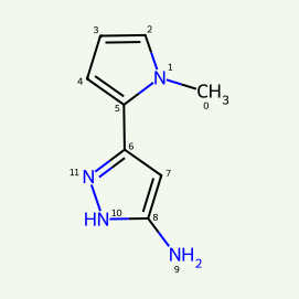 Cn1cccc1-c1cc(N)[nH]n1